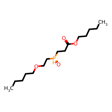 CCCCCOCC[PH](=O)CCC(=O)OCCCCC